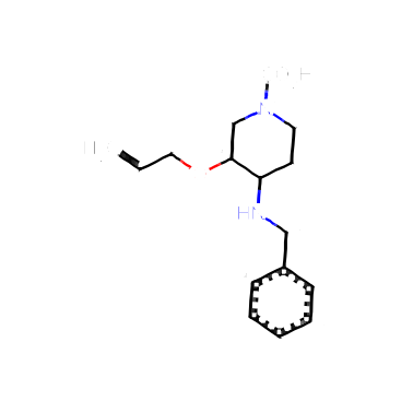 C=CCOC1CN(C(=O)O)CCC1NCc1ccccc1